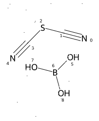 N#CSC#N.OB(O)O